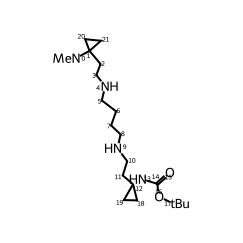 CNC1(CCNCCCCNCCC2(NC(=O)OC(C)(C)C)CC2)CC1